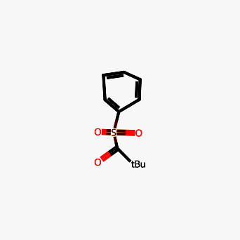 CC(C)(C)C(=O)S(=O)(=O)c1ccccc1